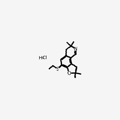 CCSc1cc2c(c3c1OC(C)(C)C3)C=NC(C)(C)C2.Cl